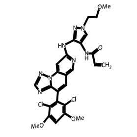 C=CC(=O)Nc1cn(CCOC)nc1Nc1cc2c(cn1)cc(-c1c(Cl)c(OC)cc(OC)c1Cl)c1ncnn12